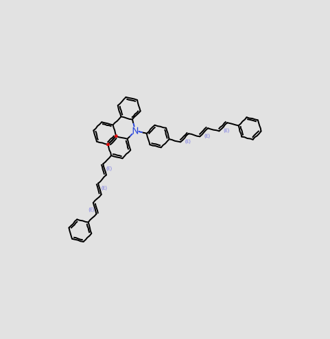 C(=C\C=C\c1ccc(N(c2ccc(/C=C/C=C/C=C/c3ccccc3)cc2)c2ccccc2-c2ccccc2)cc1)/C=C/c1ccccc1